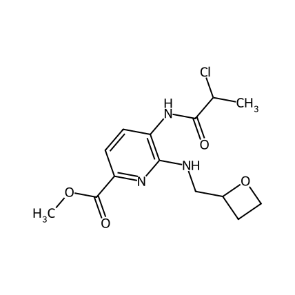 COC(=O)c1ccc(NC(=O)C(C)Cl)c(NCC2CCO2)n1